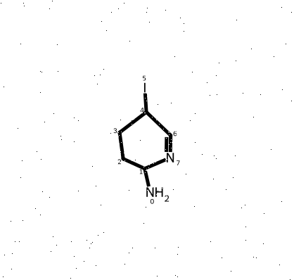 NC1CCC(I)C=N1